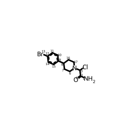 NC(=O)C(Cl)N1CCC(c2ccc(Br)cc2)CC1